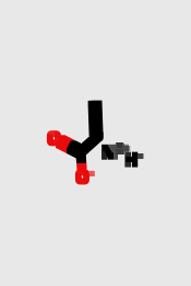 C=CC(=O)[O-].[H-].[Ni+2]